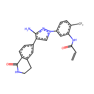 C=CC(=O)Nc1cc(-n2cc(-c3ccc4c(c3)CCNC4=O)c(N)n2)ccc1C(F)(F)F